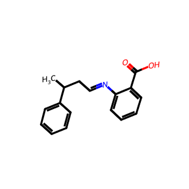 CC(CC=Nc1ccccc1C(=O)O)c1ccccc1